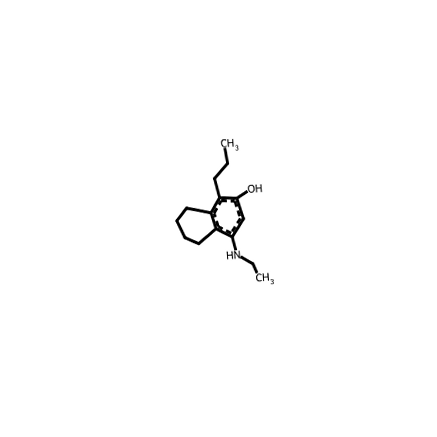 CCCc1c(O)cc(NCC)c2c1CCCC2